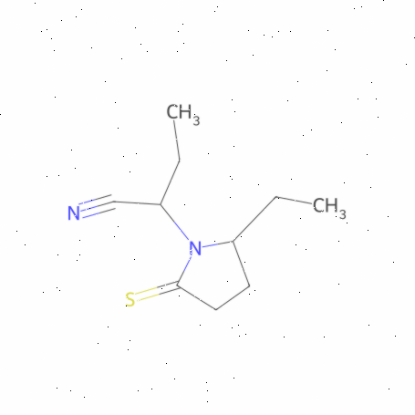 CCC(C#N)N1C(=S)CCC1CC